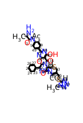 CC(=O)N(C(=O)[C@@H](C)N)c1ccc(-c2ncc(C(=O)N(C(=O)C(N)c3ccccc3)C3C(=O)N4C(C(=O)O)=C(CSc5nnnn5C)CS[C@@H]34)c(O)n2)cc1